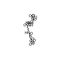 CNC(=O)C(CCCCNC(=O)COCC(=O)ON1C(=O)CCC1=O)NC(=O)COCC(=O)ON1C(=O)CCC1=O